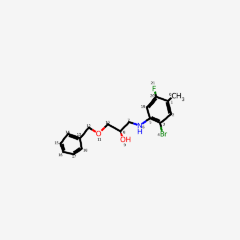 Cc1cc(Br)c(NC[C@@H](O)COCc2ccccc2)cc1F